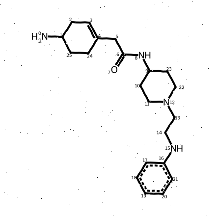 NC1CC=C(CC(=O)NC2CCN(CCNc3ccccc3)CC2)CC1